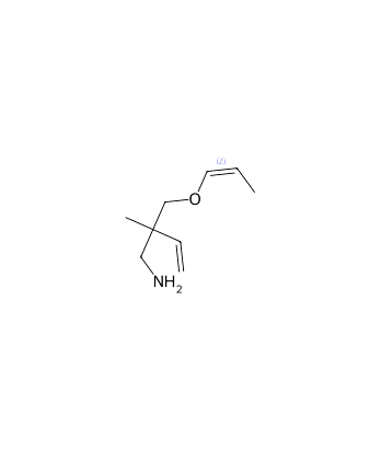 C=CC(C)(CN)CO/C=C\C